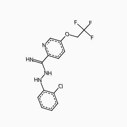 N=C(NNc1ccccc1Cl)c1ccc(OCC(F)(F)F)cn1